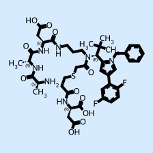 C[C@H](N)C(=O)N[C@H](C)C(=O)N[C@@H](CC(=O)O)C(=O)NCCCN(C(=O)CSCCC(=O)N[C@H](CC(=O)O)C(=O)O)[C@@H](c1cc(-c2cc(F)ccc2F)cn1Cc1ccccc1)C(C)(C)C